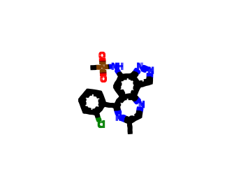 Cc1cnc2c(cc(NS(C)(=O)=O)c3nncc32)c(-c2ccccc2Cl)n1